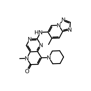 Cc1cc2ncnn2cc1Nc1ncc2c(n1)c(N1CCCCC1)cc(=O)n2C